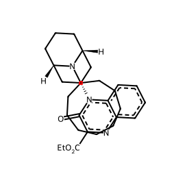 CCOC(=O)c1nc2ccccc2n([C@H]2C[C@H]3CCC[C@@H](C2)N3C2CCCCCCCC2)c1=O